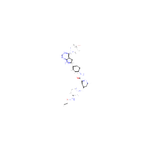 C=CC(=O)N[C@@H]1CCCN(Cc2ccnc(C(=O)Nc3ccc(-c4cc5c(N6CCC(O)CC6)ncnc5[nH]4)cc3)c2)C1